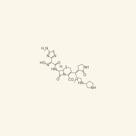 Nc1nc(C(=NO)C(=O)N[C@@H]2C(=O)N3C(C(=O)O)=C(C(CCNC4CCNC4)=C4CCNC4=O)CS[C@H]23)ns1